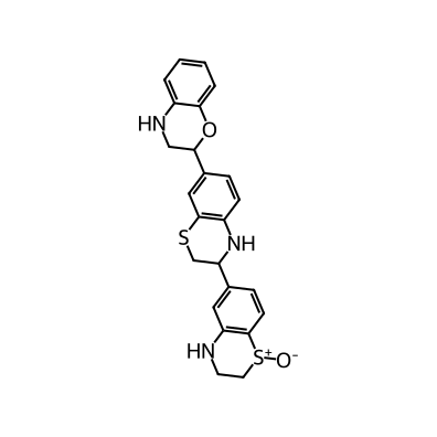 [O-][S+]1CCNc2cc(C3CSc4cc(C5CNc6ccccc6O5)ccc4N3)ccc21